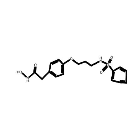 O=C(Cc1ccc(OCCCNS(=O)(=O)c2ccccc2)cc1)NO